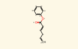 [CH]=CCC=CC(=O)Oc1ccccc1